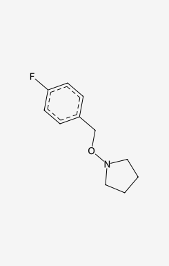 Fc1ccc(CON2CCCC2)cc1